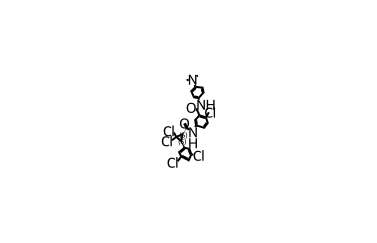 CN(C)c1ccc(NC(=O)c2cc(NC(=O)[C@@H]3[C@@H](c4cc(Cl)cc(Cl)c4)C3(Cl)Cl)ccc2Cl)cc1